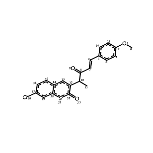 COc1ccc(C=CC(=O)C(C)c2cc3ccc(Cl)cc3sc2=O)cc1